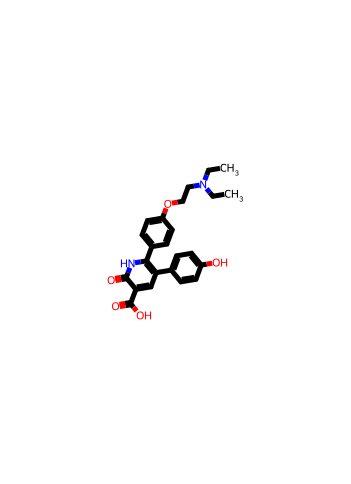 CCN(CC)CCOc1ccc(-c2[nH]c(=O)c(C(=O)O)cc2-c2ccc(O)cc2)cc1